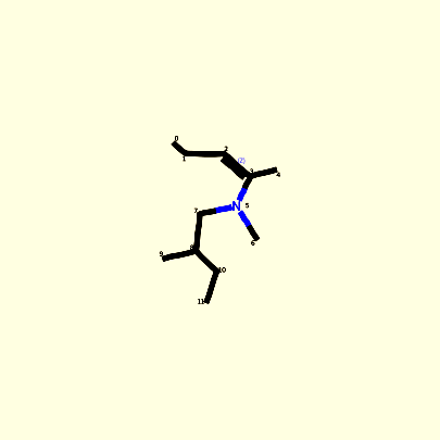 CC/C=C(/C)N(C)CC(C)CC